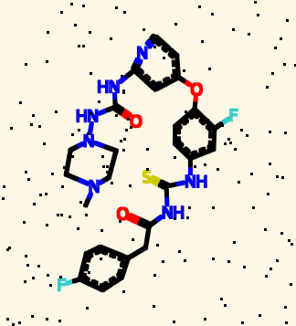 CN1CCN(NC(=O)Nc2cc(Oc3ccc(NC(=S)NC(=O)Cc4ccc(F)cc4)cc3F)ccn2)CC1